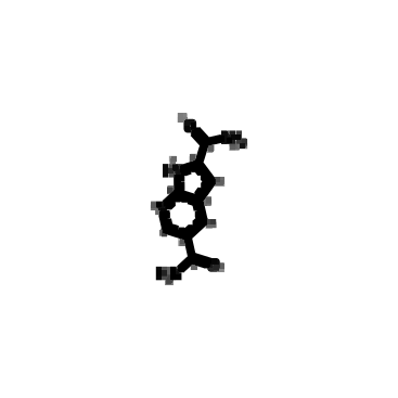 NC(=O)c1cnc2[nH]c(C(N)=O)cc2c1